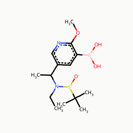 CCN(C(C)c1cnc(OC)c(B(O)O)c1)[S+]([O-])C(C)(C)C